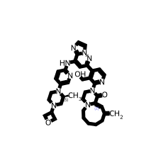 C=C1/C=C2/C(=O)N(c3nccc(-c4cc(Nc5ccc(N6CCN(C7COC7)C[C@@H]6C)cn5)c5nccn5n4)c3CO)CCN2CCCCC1